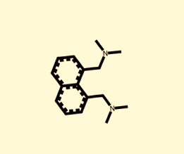 CN(C)Cc1cccc2cccc(CN(C)C)c12